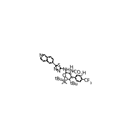 CC(C)(C)C(O[Si](C)(C)C(C)(C)C)[C@H](c1ccc(C(F)(F)F)cc1)[C@H](NC(=O)O)C(=O)Nc1nnc(-c2ccc3cnccc3c2)s1